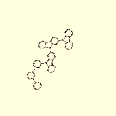 c1ccc(-c2cccc(-c3cccc(-n4c5ccccc5c5ccc(-n6c7ccccc7c7ccc(-n8c9ccccc9c9ccccc98)cc76)cc54)c3)c2)cc1